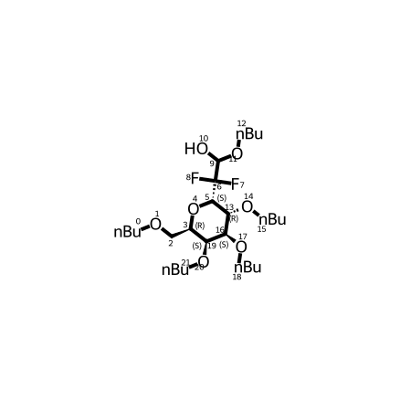 CCCCOC[C@H]1O[C@H](C(F)(F)C(O)OCCCC)[C@H](OCCCC)[C@@H](OCCCC)[C@H]1OCCCC